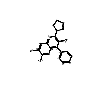 N#Cc1c(C2CCCC2)nc2cc(F)c(Cl)cc2c1-c1ccccc1